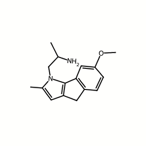 COc1ccc2c(c1)-c1c(cc(C)n1CC(C)N)C2